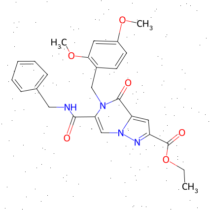 CCOC(=O)c1cc2c(=O)n(Cc3ccc(OC)cc3OC)c(C(=O)NCc3ccccc3)cn2n1